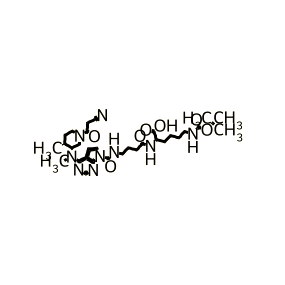 C[C@@H]1CCN(C(=O)CC#N)C[C@@H]1N(C)c1ncnc2c1ccn2C(=O)NCCCC(=O)NC(CCCCNC(=O)OC(C)(C)C)C(=O)O